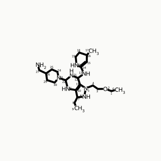 CCOCCN1NC(CC)C2=C1C(NC1=CC(C)CCN1)NC(N1CCC(CN)CC1)N2